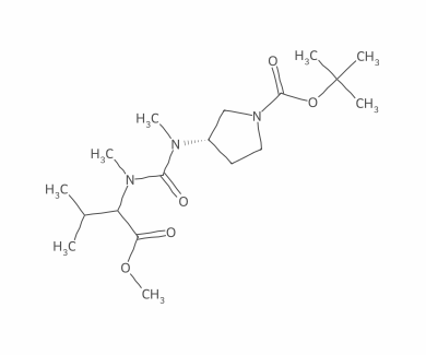 COC(=O)C(C(C)C)N(C)C(=O)N(C)[C@H]1CCN(C(=O)OC(C)(C)C)C1